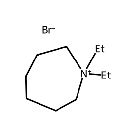 CC[N+]1(CC)CCCCCC1.[Br-]